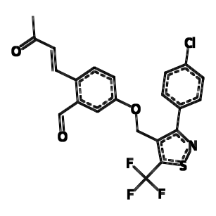 CC(=O)/C=C/c1ccc(OCc2c(-c3ccc(Cl)cc3)nsc2C(F)(F)F)cc1C=O